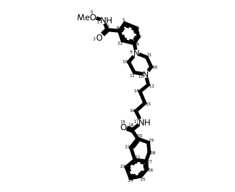 CONC(=O)c1cccc(N2CCN(CCCCNC(=O)C3=Cc4ccccc4CC3)CC2)c1